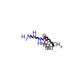 C/C(=C\C(C)(C)CC(C)(C)C)CC1CC(=O)N(CCNCCNCCN)C1=O